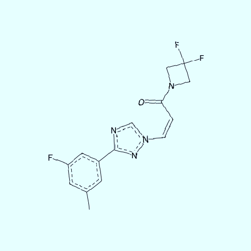 Cc1cc(F)cc(-c2ncn(/C=C\C(=O)N3CC(F)(F)C3)n2)c1